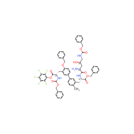 Cc1ccc(-c2ccc(OCc3ccccc3)c(C[C@H](NC(=O)OCc3ccccc3)C(=O)Oc3c(F)c(F)c(F)c(F)c3F)c2)cc1C[C@H](NC(=O)[C@@H](N)C[C@@H](O)CNC(=O)OCc1ccccc1)C(=O)OCc1ccccc1